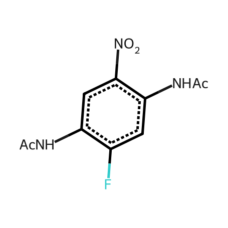 CC(=O)Nc1cc([N+](=O)[O-])c(NC(C)=O)cc1F